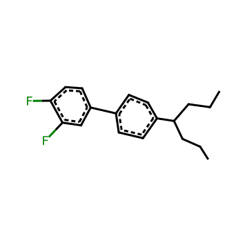 CCCC(CCC)c1ccc(-c2ccc(F)c(F)c2)cc1